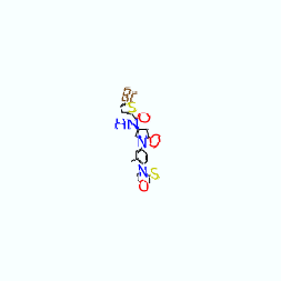 Cc1cc(N2CC(NC(=O)c3ccc(Br)s3)CC2=O)ccc1N1CCOCC1=S